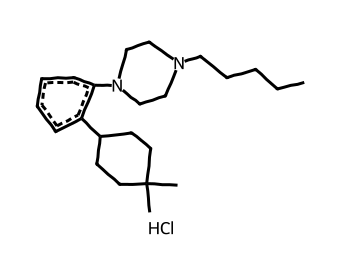 CCCCCN1CCN(c2ccccc2C2CCC(C)(C)CC2)CC1.Cl